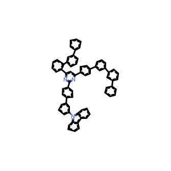 c1ccc(-c2cccc(-c3cccc(-c4ccc(-c5cc(-c6ccccc6-c6cccc(-c7ccccc7)c6)nc(-c6ccc(-c7cccc(-n8c9ccccc9c9ccccc98)c7)cc6)n5)cc4)c3)c2)cc1